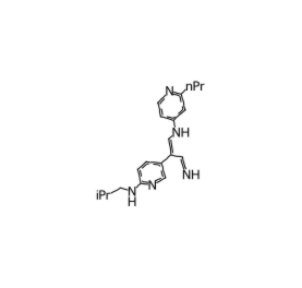 CCCc1cc(N/C=C(\C=N)c2ccc(NCC(C)C)nc2)ccn1